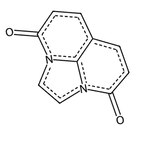 O=c1ccc2ccc(=O)n3ccn1c23